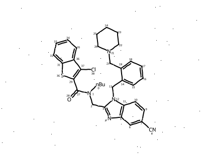 CCCCN(Cc1nc2cc(C#N)ccc2n1Cc1ccccc1CN1CCCCC1)C(=O)c1sc2ccccc2c1Cl